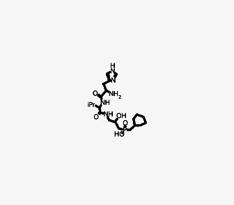 CC(C)C(NC(=O)C(N)Cc1c[nH]cn1)C(=O)NCC(O)CP(=O)(O)CC1CCCCC1